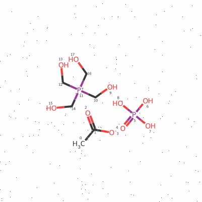 CC(=O)[O-].O=P(O)(O)O.OC[P+](CO)(CO)CO